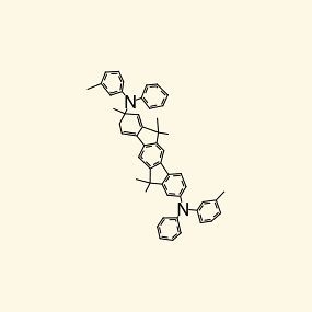 Cc1cccc(N(c2ccccc2)c2ccc3c(c2)C(C)(C)c2cc4c(cc2-3)C(C)(C)C2=CC(C)(N(c3ccccc3)c3cccc(C)c3)CC=C24)c1